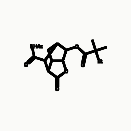 CCC(C)(C)C(=O)OC1C2CC3C1OC(=O)C3C2C(=O)NC(C)=O